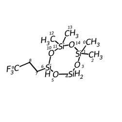 C[Si]1(C)O[SiH2]O[SiH](CCC(F)(F)F)O[Si](C)(C)O1